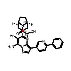 CC(=O)c1c([C@@H]2C[C@H]3CC[C@@H](C2)N3C(=O)[C@H](C)O)nc2c(-c3ccc(-c4ccccc4)nc3)cnn2c1N